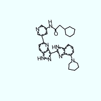 O=C(CC1CCCCC1)Nc1cncc(-c2ccc3[nH]nc(-c4nc5c(N6CCCCC6)cccc5[nH]4)c3n2)c1